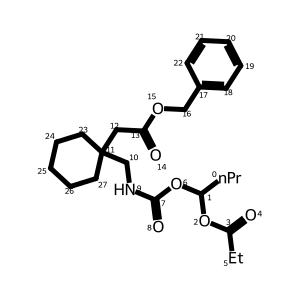 CCCC(OC(=O)CC)OC(=O)NCC1(CC(=O)OCc2ccccc2)CCCCC1